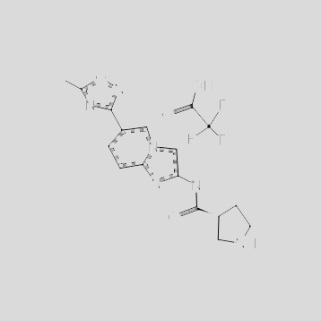 Cc1nc(-c2ccc3nc(NC(=O)[C@H]4CCNC4)cn3c2)no1.O=C(O)C(F)(F)F